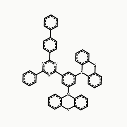 c1ccc(-c2ccc(-c3nc(-c4ccccc4)nc(-c4cc(N5c6ccccc6Sc6ccccc65)cc(N5c6ccccc6Sc6ccccc65)c4)n3)cc2)cc1